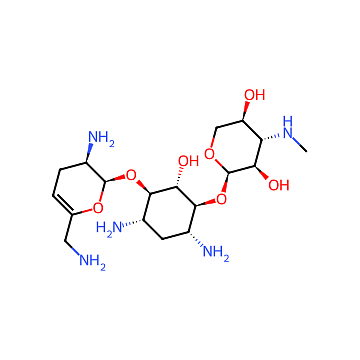 CN[C@@H]1[C@@H](O)[C@@H](O[C@@H]2[C@@H](O)[C@H](O[C@H]3OC(CN)=CC[C@H]3N)[C@@H](N)C[C@H]2N)OC[C@H]1O